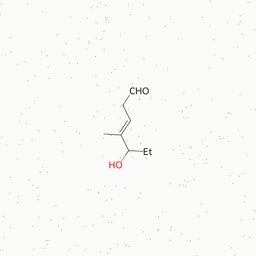 CCC(O)C(C)=CCC=O